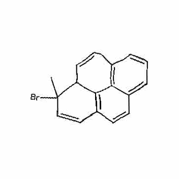 CC1(Br)C=Cc2ccc3cccc4c3c2C1C=C4